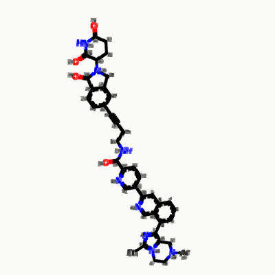 CCc1nc(-c2cccc3cc(-c4ccc(C(=O)NCCC#Cc5ccc6c(c5)CN(C5CCC(=O)NC5=O)C6=O)nc4)ncc23)c2n1CCN(C(C)=O)C2